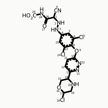 N#CC(NNc1cc(Cl)c(Oc2ccc(C3COC(Cl)CN3)nn2)c(Cl)c1)C(=O)NC(=O)O